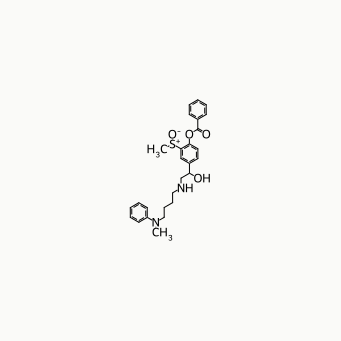 CN(CCCCNCC(O)c1ccc(OC(=O)c2ccccc2)c([S+](C)[O-])c1)c1ccccc1